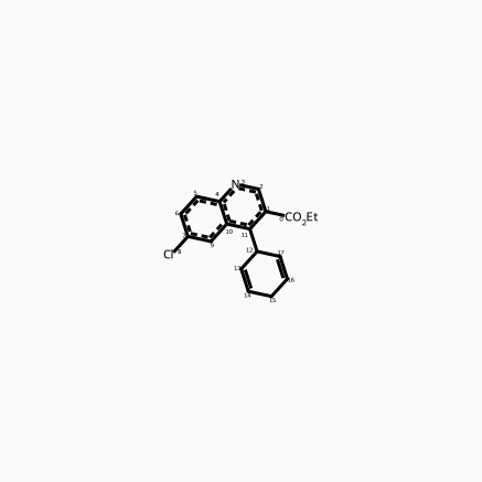 CCOC(=O)c1cnc2ccc(Cl)cc2c1C1C=CCC=C1